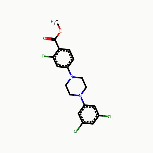 COC(=O)c1ccc(N2CCN(c3cc(Cl)cc(Cl)c3)CC2)cc1F